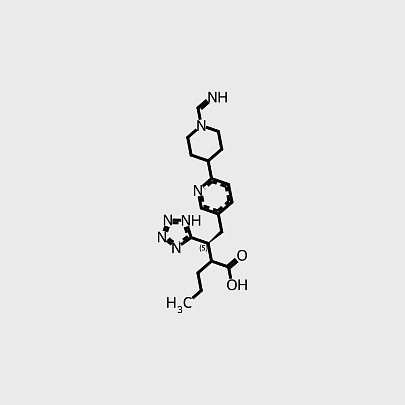 CCCC(C(=O)O)[C@H](Cc1ccc(C2CCN(C=N)CC2)nc1)c1nnn[nH]1